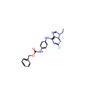 CCn1cnc2c(Nc3ccc(NC(=O)OCc4ccccc4)cc3)nc(Cl)nc21